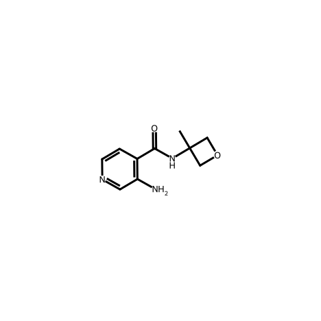 CC1(NC(=O)c2ccncc2N)COC1